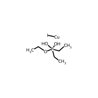 CCOP(O)(O)(CC)CC.[Cu][I]